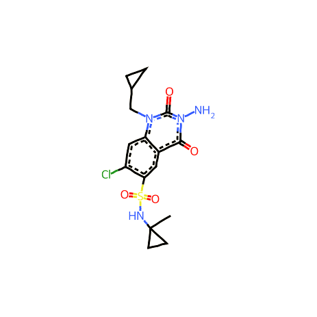 CC1(NS(=O)(=O)c2cc3c(=O)n(N)c(=O)n(CC4CC4)c3cc2Cl)CC1